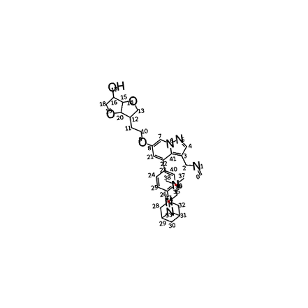 C=NCc1cnn2cc(OCCC3COC4C(O)COC34)cc(-c3ccc(N4CC5CC(C4)N5CCN(C)C)nc3)c12